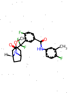 CO[C@H]1CC2CC[C@H](C1)N2C(=O)C(F)(F)c1cc(C(=O)Nc2ccc(F)c(C)c2)ccc1F